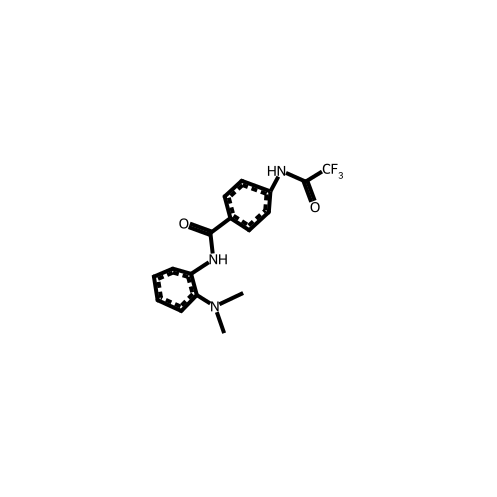 CN(C)c1ccccc1NC(=O)c1ccc(NC(=O)C(F)(F)F)cc1